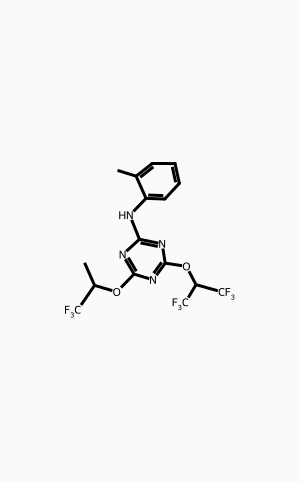 Cc1ccccc1Nc1nc(OC(C)C(F)(F)F)nc(OC(C(F)(F)F)C(F)(F)F)n1